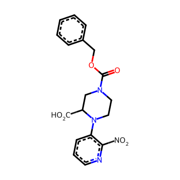 O=C(O)C1CN(C(=O)OCc2ccccc2)CCN1c1cccnc1[N+](=O)[O-]